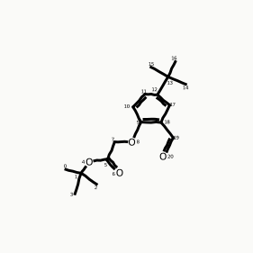 CC(C)(C)OC(=O)COc1ccc(C(C)(C)C)cc1C=O